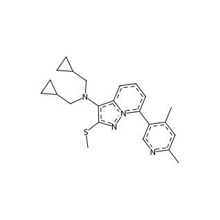 CSc1nn2c(-c3cnc(C)cc3C)cccc2c1N(CC1CC1)CC1CC1